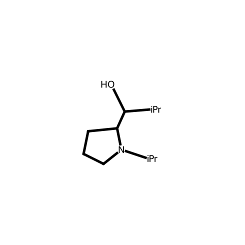 CC(C)C(O)C1CCCN1C(C)C